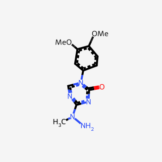 COc1ccc(-n2cnc(N(C)N)nc2=O)cc1OC